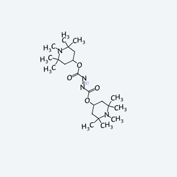 CN1C(C)(C)CC(OC(=O)/N=N/C(=O)OC2CC(C)(C)N(C)C(C)(C)C2)CC1(C)C